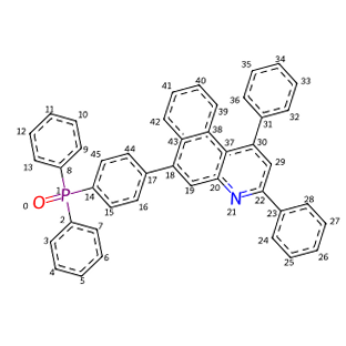 O=P(c1ccccc1)(c1ccccc1)c1ccc(-c2cc3nc(-c4ccccc4)cc(-c4ccccc4)c3c3ccccc23)cc1